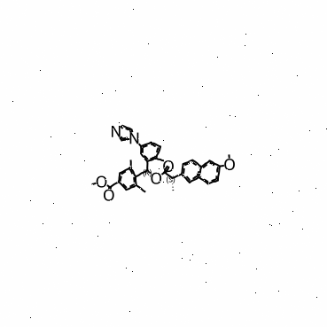 COC(=O)c1cc(C)c([C@H](OC(=O)[C@@H](C)c2ccc3cc(OC)ccc3c2)c2cc(-n3ccnc3)ccc2C)c(C)c1